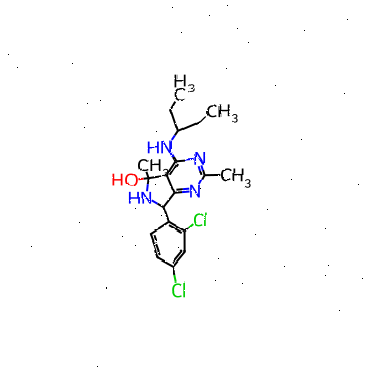 CCC(CC)Nc1nc(C)nc2c1C(C)(O)NC2c1ccc(Cl)cc1Cl